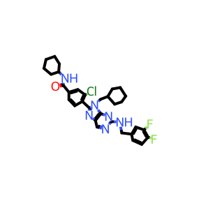 O=C(NC1CCCCC1)c1ccc(-c2nc3cnc(NCc4ccc(F)c(F)c4)nc3n2CC2CCCCC2)c(Cl)c1